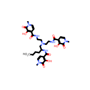 Cn1ccc(C(=O)NCCN(CCNC(=O)c2ccn(C)c(=O)c2O)CC(CCCC(=O)O)NC(=O)c2ccn(C)c(=O)c2O)c(O)c1=O